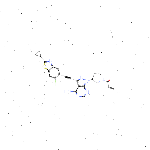 C=CC(=O)N1CCC(n2nc(C#Cc3cc4nc(C5CC5)sc4cc3F)c3c(N)ncnc32)C1